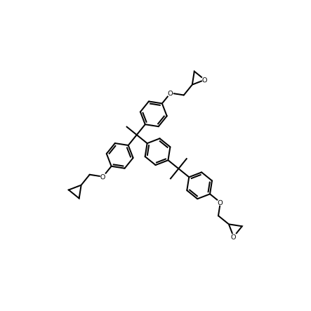 CC(C)(c1ccc(OCC2CO2)cc1)c1ccc(C(C)(c2ccc(OCC3CC3)cc2)c2ccc(OCC3CO3)cc2)cc1